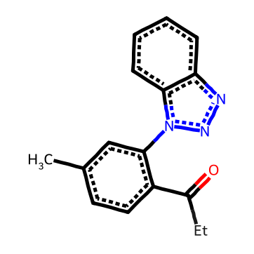 CCC(=O)c1ccc(C)cc1-n1nnc2ccccc21